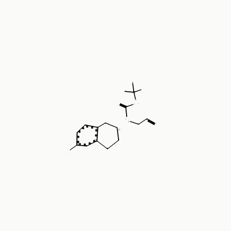 C=CCN(C(=O)OC(C)(C)C)[C@@H]1CCc2cc(Br)ccc2C1